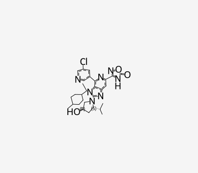 CC1CCC(C(C)n2c(N3C[C@H](O)C[C@H]3C(C)C)nc3cc(-c4noc(=O)[nH]4)nc(-c4cncc(Cl)c4)c32)CC1